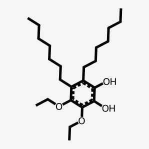 CCCCCCCc1c(O)c(O)c(OCC)c(OCC)c1CCCCCCC